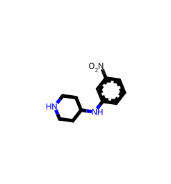 O=[N+]([O-])c1cccc(NC2CCNCC2)c1